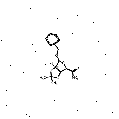 CC1(C)OC2C(C(N)=O)OC(OCc3ccccc3)[C@@H]2O1